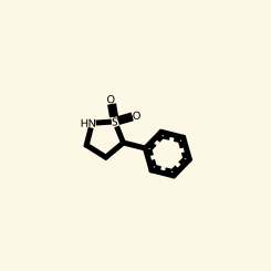 O=S1(=O)NCCC1c1ccccc1